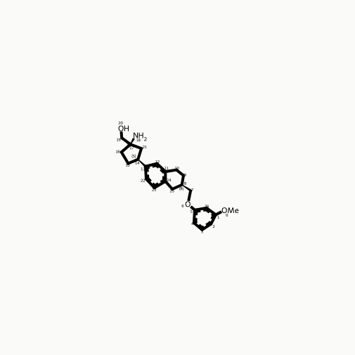 COc1cccc(OC[C@@H]2CCc3cc([C@H]4CC[C@](N)(CO)C4)ccc3C2)c1